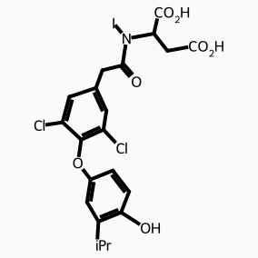 CC(C)c1cc(Oc2c(Cl)cc(CC(=O)N(I)C(CC(=O)O)C(=O)O)cc2Cl)ccc1O